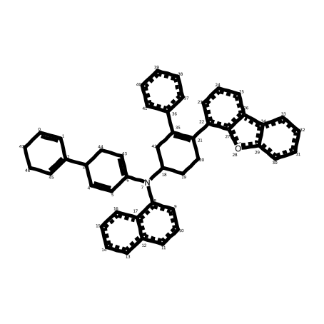 C1=CC(C2C=CC(N(c3cccc4ccccc34)C3CCC(c4cccc5c4oc4ccccc45)=C(c4ccccc4)C3)=CC2)=CCC1